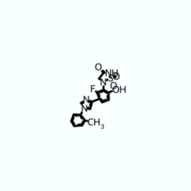 Cc1ccccc1-n1cnc(-c2ccc(O)c(N3CC(=O)NS3(=O)=O)c2F)c1